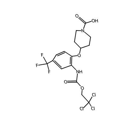 O=C(Nc1cc(C(F)(F)F)ccc1OC1CCN(C(=O)O)CC1)OCC(Cl)(Cl)Cl